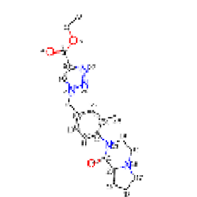 CCOC(=O)c1cn(Cc2ccc(N3CCN4CCCC4C3=O)c(C)c2)nn1